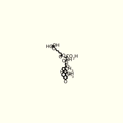 C[C@]12C[C@H](O)C3(F)[C@@H](CCC4=CC(=O)C=C[C@@]43C)C1CCC2C(=O)COC(=O)NC(COC(=O)CCCCCON(O)O)C(=O)O